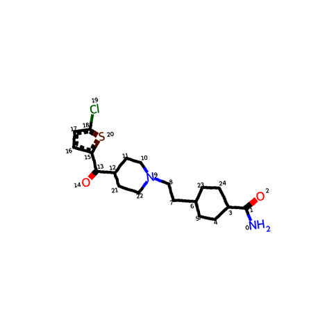 NC(=O)C1C[CH]C(CCN2CCC(C(=O)c3ccc(Cl)s3)CC2)CC1